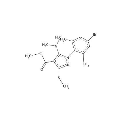 COC(=O)c1c(SC)nn(-c2c(C)cc(Br)cc2C)c1N(C)C